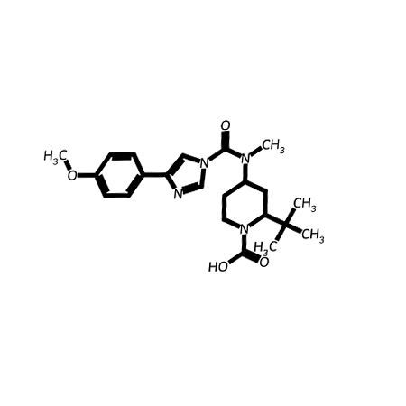 COc1ccc(-c2cn(C(=O)N(C)C3CCN(C(=O)O)C(C(C)(C)C)C3)cn2)cc1